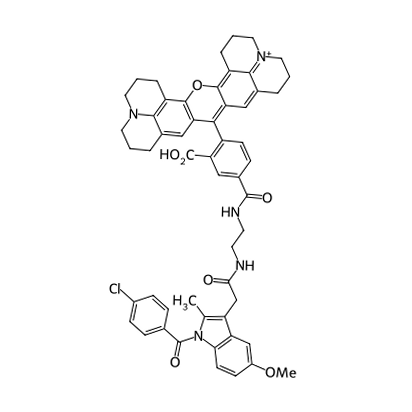 COc1ccc2c(c1)c(CC(=O)NCCNC(=O)c1ccc(C3=c4cc5c6c(c4Oc4c3cc3c7c4CCCN7CCC3)CCC[N+]=6CCC5)c(C(=O)O)c1)c(C)n2C(=O)c1ccc(Cl)cc1